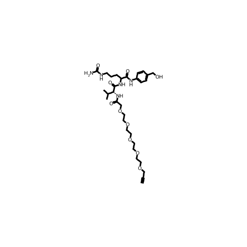 C#CCOCCOCCOCCOCCOCC(=O)N[C@@H](C(=O)NC(CCCNC(N)=O)C(=O)Nc1ccc(CO)cc1)C(C)C